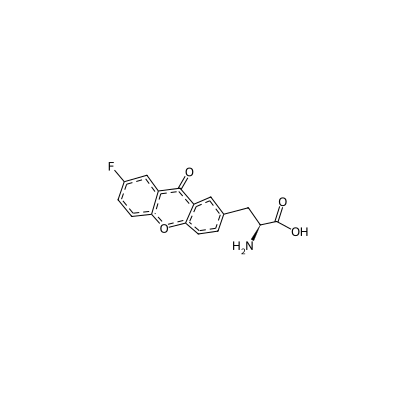 N[C@@H](Cc1ccc2oc3ccc(F)cc3c(=O)c2c1)C(=O)O